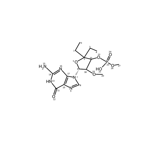 CCC1(CC)O[C@@H](n2cnc3c(=O)[nH]c(N)nc32)C(OC)C1OP(=O)(O)OC